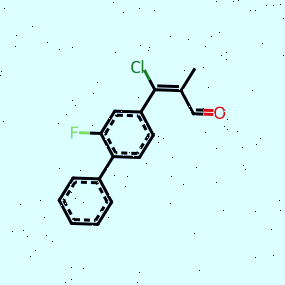 CC(C=O)=C(Cl)c1ccc(-c2ccccc2)c(F)c1